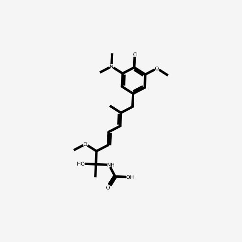 COc1cc(C/C(C)=C/C=C/C(OC)C(C)(O)NC(=O)O)cc(N(C)C)c1Cl